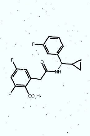 O=C(Cc1cc(F)cc(F)c1C(=O)O)N[C@H](c1cccc(F)c1)C1CC1